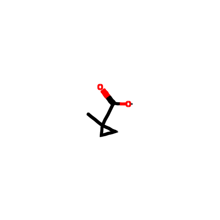 CC1(C([O])=O)CC1